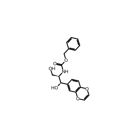 O=C(N[C@H](CO)[C@H](O)c1ccc2c(c1)OC=CO2)OCc1ccccc1